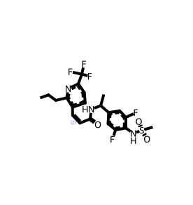 CCCc1nc(C(F)(F)F)ccc1/C=C\C(=O)NC(C)c1cc(F)c(NS(C)(=O)=O)c(F)c1